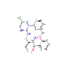 CC[C@@H](CNc1ncc(Br)cn1)C(=N)C(=O)c1ccccc1OCc1ccccc1